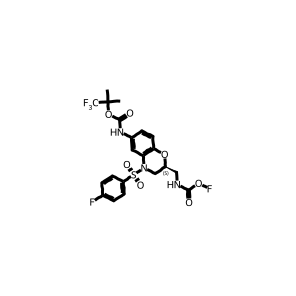 CC(C)(OC(=O)Nc1ccc2c(c1)N(S(=O)(=O)c1ccc(F)cc1)C[C@H](CNC(=O)OF)O2)C(F)(F)F